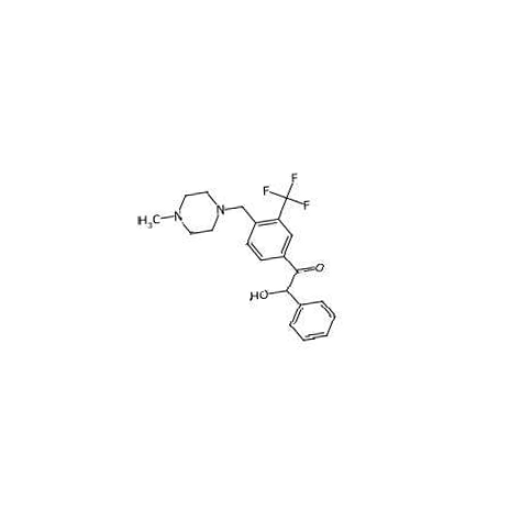 CN1CCN(Cc2ccc(C(=O)C(O)c3ccccc3)cc2C(F)(F)F)CC1